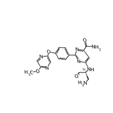 COc1cnc(Oc2ccc(-c3nc(N[C@H](C=O)CN)cc(C(N)=O)n3)cc2)cn1